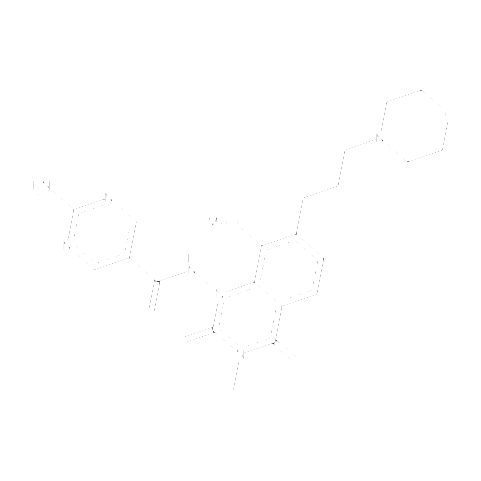 COc1c(CCCN2CCOCC2)ccc2c(=O)n(C)c(=O)n(NC(=O)c3cnc(N)nc3)c12